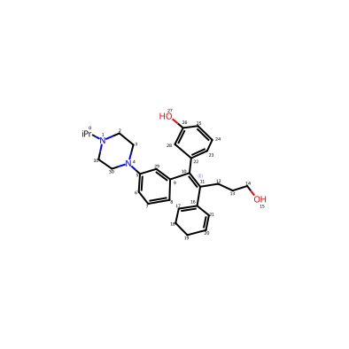 CC(C)N1CCN(c2cccc(/C(=C(/CCCO)C3=CCCC=C3)c3cccc(O)c3)c2)CC1